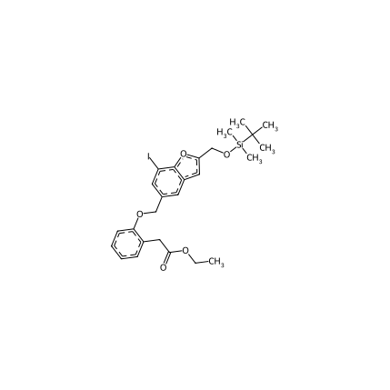 CCOC(=O)Cc1ccccc1OCc1cc(I)c2oc(CO[Si](C)(C)C(C)(C)C)cc2c1